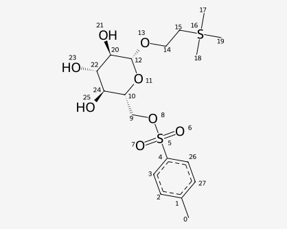 Cc1ccc(S(=O)(=O)OC[C@H]2O[C@@H](OCCS(C)(C)C)[C@H](O)[C@@H](O)[C@@H]2O)cc1